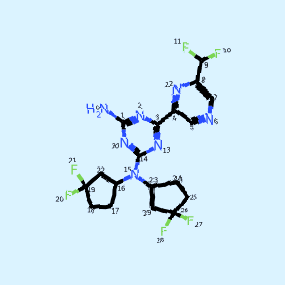 Nc1nc(-c2cncc(C(F)F)n2)nc(N(C2CCC(F)(F)C2)C2CCC(F)(F)C2)n1